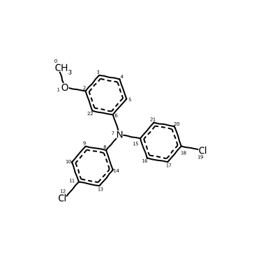 COc1cccc(N(c2ccc(Cl)cc2)c2ccc(Cl)cc2)c1